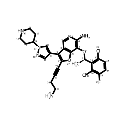 C[C@@H](Oc1c(N)ncc2c(-c3cnn(C4CCNCC4)c3)c(C#CCCN)oc12)c1c(Cl)ccc(F)c1Cl